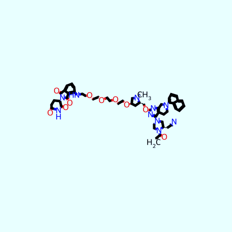 C=CC(=O)N1CCN(c2nc(OC[C@@H]3C[C@@H](OCCOCCOCCOCCNc4cccc5c4C(=O)N(C4CCC(=O)NC4=O)C5=O)CN3C)nc3c2CCN(c2cccc4ccccc24)C3)C[C@@H]1CC#N